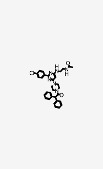 CC(=O)NCCNc1cc(N2CCN(C(=O)C(c3ccccc3)c3ccccc3)CC2)nc(-c2ccc(Cl)cc2)n1